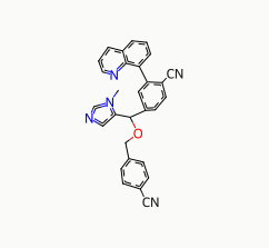 Cn1cncc1C(OCc1ccc(C#N)cc1)c1ccc(C#N)c(-c2cccc3cccnc23)c1